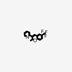 CC(=O)/C(=C\c1cccc(C(F)(F)F)c1)c1ccccn1